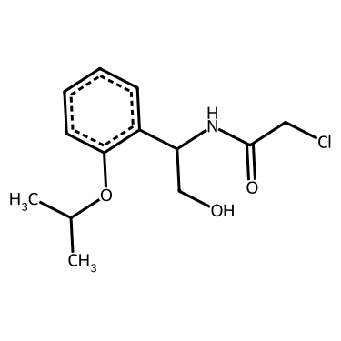 CC(C)Oc1ccccc1C(CO)NC(=O)CCl